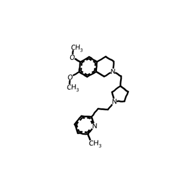 COc1cc2c(cc1OC)CN(CC1CCN(CCc3cccc(C)n3)C1)CC2